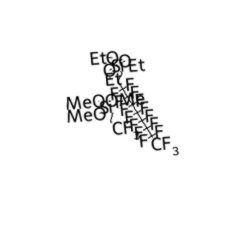 CCO[Si](CCC(F)(F)C(F)(F)C(F)(F)C(F)(F)C(F)(F)C(F)(F)C(F)(F)C(F)(F)F)(OCC)OCC.CO[Si](CCC(F)(F)F)(OC)OC